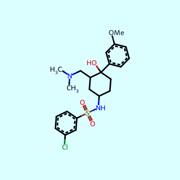 COc1cccc(C2(O)CCC(NS(=O)(=O)c3cccc(Cl)c3)CC2CN(C)C)c1